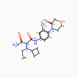 CC(C)CN(C1CCC1)[C@@H](C(N)=O)C(=O)Nc1ccc(N2CCOCC2=O)c(C(F)(F)F)c1